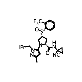 Cc1cc(N2C[C@H]([S+]([O-])c3ccccc3C(F)(F)F)C[C@H]2C(=O)NC2(C#N)CC2)n(CC(C)C)n1